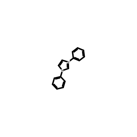 c1ccc(-n2cc[n+](-c3ccccc3)c2)cc1